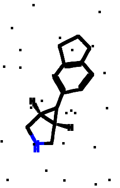 c1cc2c(cc1C1[C@H]3CNC[C@@H]13)CCC2